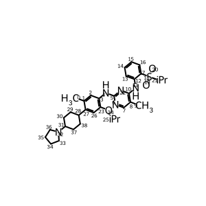 Cc1cc(Nc2ncc(C)c(Nc3ccccc3S(=O)(=O)C(C)C)n2)c(OC(C)C)cc1C1CCC(N2CCCC2)CC1